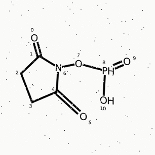 O=C1CCC(=O)N1O[PH](=O)O